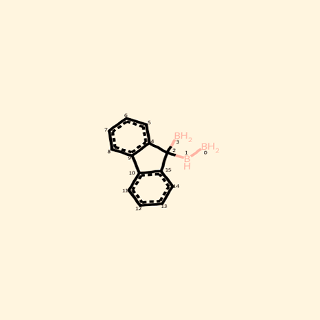 BBC1(B)c2ccccc2-c2ccccc21